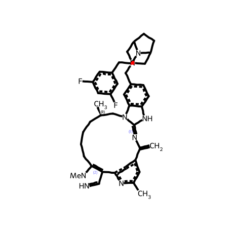 C=C1/N=C2\Nc3ccc(CN4CC5CCC(C4)N5CCc4cc(F)cc(F)c4)cc3N2C[C@H](C)CCCC/C(NC)=C(/C=N)c2cc1cc(C)n2